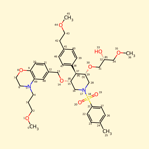 COCCCN1CCOc2ccc(CO[C@H]3CN(S(=O)(=O)c4ccc(C)cc4)C[C@@H](OC[C@H](O)COC)[C@@H]3c3ccc(CCOC)cc3)cc21